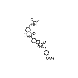 COc1ccc(CNC(=O)c2cc3cc(NC(=O)c4cc(CNC(=O)C(C)C)ccc4Cl)ccc3n2C)cc1